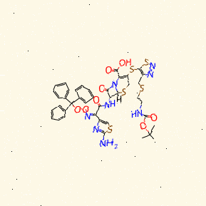 CC(C)(C)OC(=O)NCCSCc1nnsc1SC1=C(C(=O)O)N2C(=O)[C@@H](NC(=O)/C(=N\OOC(c3ccccc3)(c3ccccc3)c3ccccc3)c3csc(N)n3)[C@H]2SC1